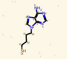 Nc1ncnc2c1ncn2CCCCS